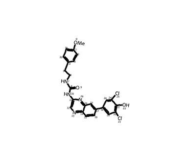 COc1ccc(CCNC(=O)Nc2cnc3ccc(-c4cc(Cl)c(O)c(Cl)c4)cc3n2)cc1